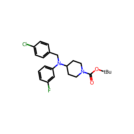 CC(C)(C)OC(=O)N1CCC(N(Cc2ccc(Cl)cc2)c2cccc(F)c2)CC1